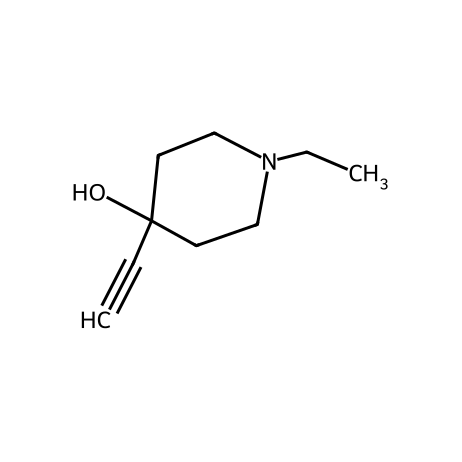 C#CC1(O)CCN(CC)CC1